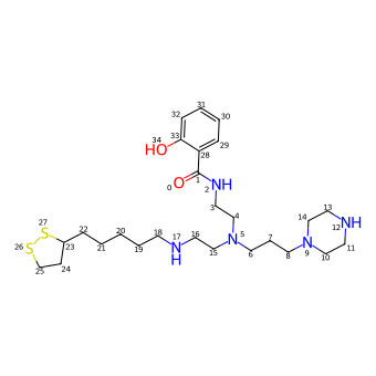 O=C(NCCN(CCCN1CCNCC1)CCNCCCCCC1CCSS1)c1ccccc1O